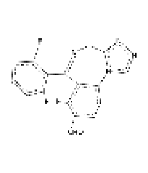 O=Cc1ccc2c(c1Cl)C(c1c(F)cccc1F)=NCc1nncn1-2